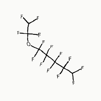 FC(F)C(F)(F)OC(F)(F)C(F)(F)C(F)(F)C(F)(F)C(F)F